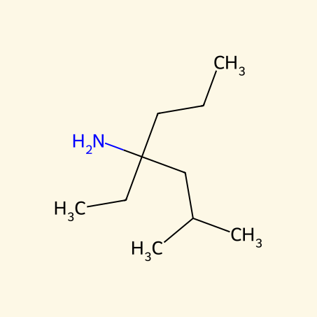 CCCC(N)(CC)CC(C)C